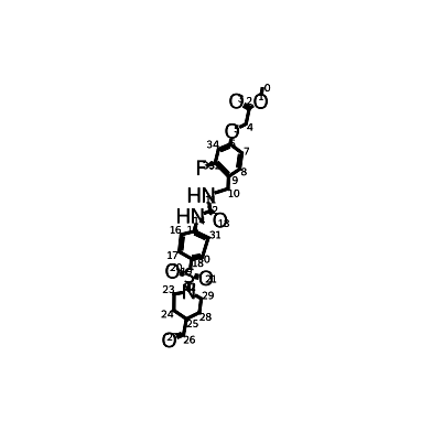 COC(=O)COc1ccc(CNC(=O)Nc2ccc(S(=O)(=O)N3CCC(C=O)CC3)cc2)c(F)c1